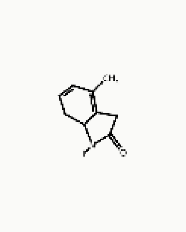 CC1=C2CC(=O)N(I)C2CC=C1